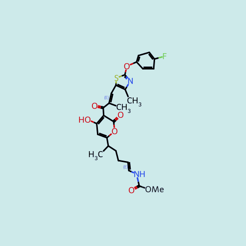 COC(=O)N/C=C/CCC(C)c1cc(O)c(C(=O)/C(C)=C/c2sc(Oc3ccc(F)cc3)nc2C)c(=O)o1